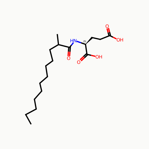 CCCCCCCCCCC(C)C(=O)N[C@@H](CCC(=O)O)C(=O)O